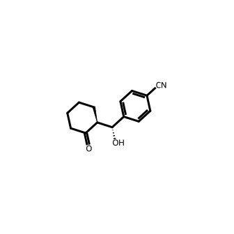 N#Cc1ccc([C@H](O)[C@@H]2CCCCC2=O)cc1